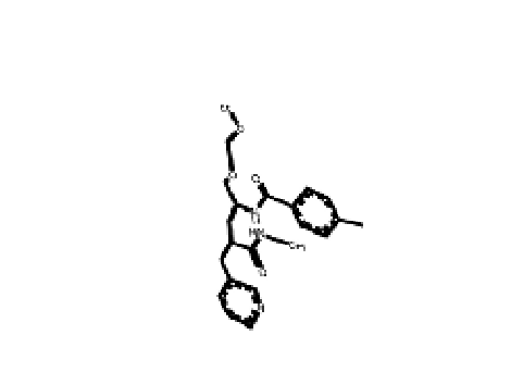 CCOCOCC(CC(Cc1cccnc1)C(=O)NO)NC(=O)c1ccc(C)cc1